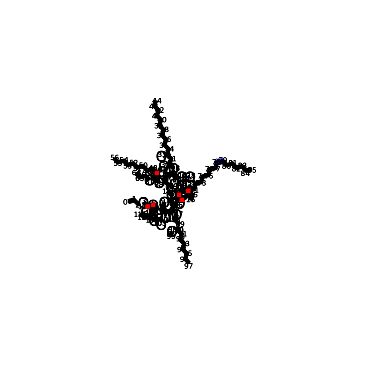 C=CCOC(=O)OC[C@H]1O[C@@H](OC[C@H]2O[C@H](OP(=O)(OCC=C)OCC=C)[C@H](OC(=O)CC(=O)CCCCCCCCCCC)[C@@H](OCCCCCCCCCC)[C@@H]2OC(=O)OCC=C)[C@H](OC(=O)CCCCCCCCC/C=C\CCCCCC)[C@@H](OCC[C@@H](CCCCCCC)OC)[C@@H]1OP(=O)(OCC=C)OCC=C